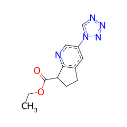 CCOC(=O)C1CCc2cc(-n3cnnn3)cnc21